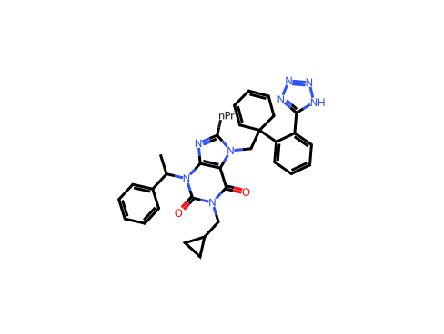 CCCc1nc2c(c(=O)n(CC3CC3)c(=O)n2C(C)c2ccccc2)n1CC1(c2ccccc2-c2nnn[nH]2)C=CC=CC1